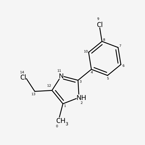 Cc1[nH]c(-c2cccc(Cl)c2)nc1CCl